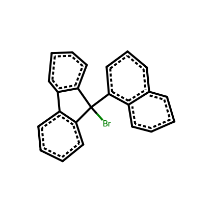 BrC1(c2cccc3ccccc23)c2ccccc2-c2ccccc21